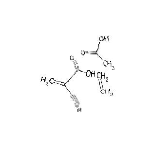 C=C.C=C(C#N)C(=O)O.CC(=O)O